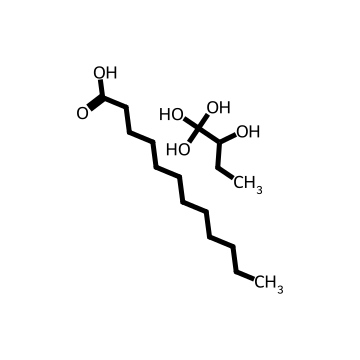 CCC(O)C(O)(O)O.CCCCCCCCCCCC(=O)O